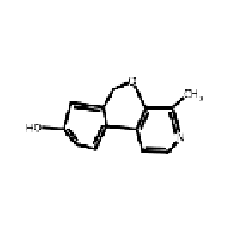 Cc1nccc2c1OCc1cc(O)ccc1-2